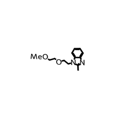 COCCOCCn1c(C)nc2ccccc21